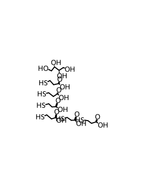 O=C(O)CCS.O=C(O)CCS.O=C(O)CCS.O=C(O)CCS.O=C(O)CCS.O=C(O)CCS.OC[C@@H](O)[C@@H](O)CO